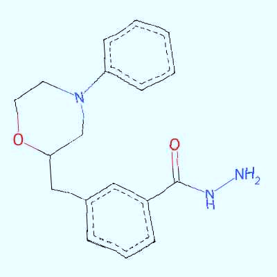 NNC(=O)c1cccc(CC2CN(c3ccccc3)CCO2)c1